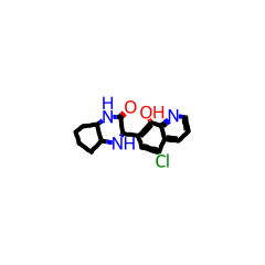 O=C1NC2CCCCC2NC1c1cc(Cl)c2cccnc2c1O